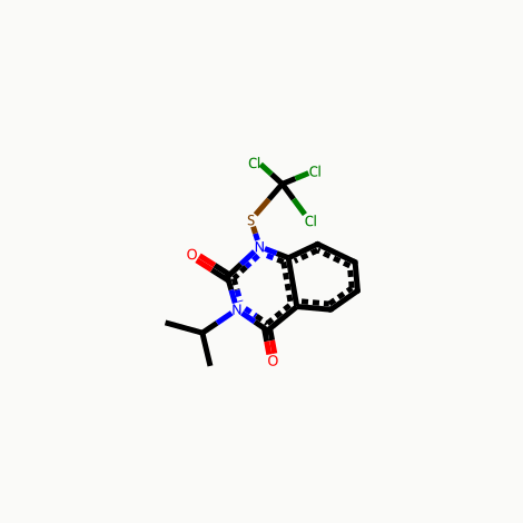 CC(C)n1c(=O)c2ccccc2n(SC(Cl)(Cl)Cl)c1=O